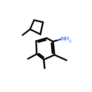 CC1CCC1.Cc1ccc(N)c(C)c1C